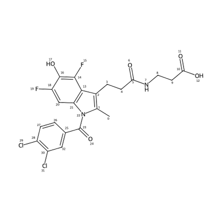 Cc1c(CCC(=O)NCCC(=O)O)c2c(F)c(O)c(F)cc2n1C(=O)c1ccc(Cl)c(Cl)c1